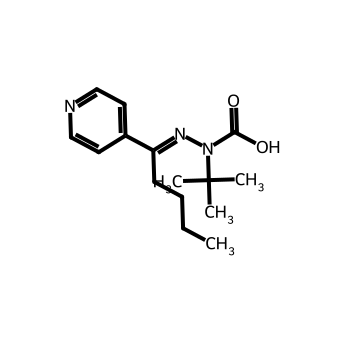 CCCCC(=NN(C(=O)O)C(C)(C)C)c1ccncc1